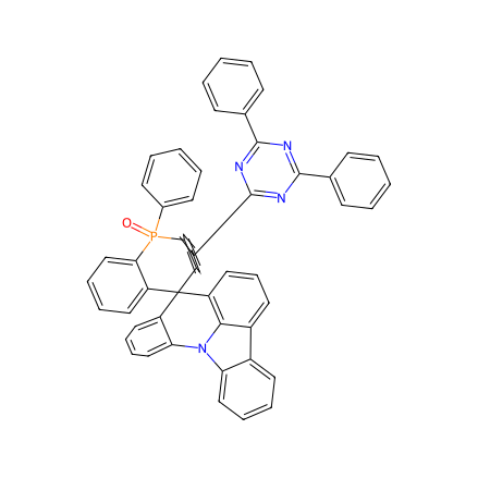 O=P1(c2ccccc2)c2ccccc2C2(c3ccccc3-n3c4ccccc4c4cccc2c43)c2ccc(-c3nc(-c4ccccc4)nc(-c4ccccc4)n3)cc21